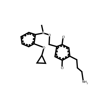 CN(OCc1cc(Cl)c(CCCN)cc1Cl)c1ccccc1OC1CC1